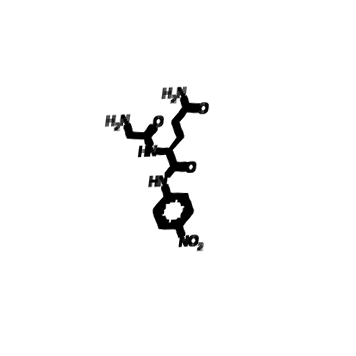 NCC(=O)N[C@@H](CCC(N)=O)C(=O)Nc1ccc([N+](=O)[O-])cc1